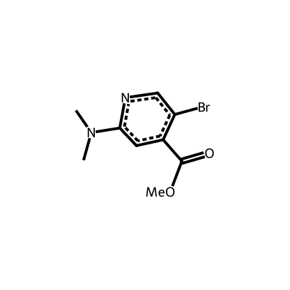 COC(=O)c1cc(N(C)C)ncc1Br